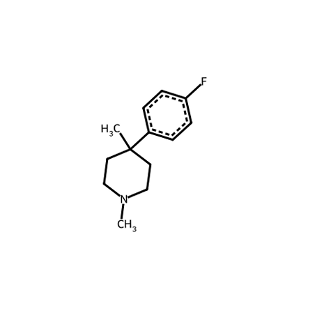 CN1CCC(C)(c2ccc(F)cc2)CC1